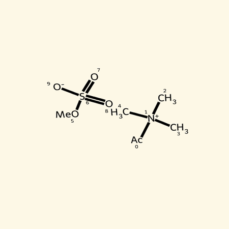 CC(=O)[N+](C)(C)C.COS(=O)(=O)[O-]